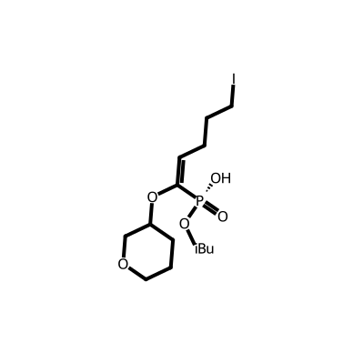 CCC(C)O[P@@](=O)(O)C(=CCCCI)OC1CCCOC1